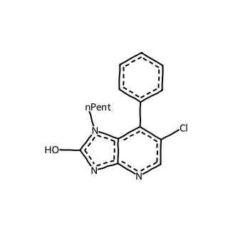 CCCCCn1c(O)nc2ncc(Cl)c(-c3ccccc3)c21